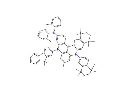 Cc1cc2c3c(c1)N(c1ccc4c(c1)C(C)(C)CCC4(C)C)c1cc4c(cc1B3c1ccc(N(c3ccccc3C)c3ccccc3C)cc1N2c1ccc2c(c1)C(C)(C)c1ccccc1-2)C(C)(C)CCC4(C)C